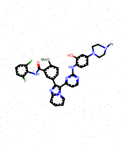 COc1ccc(-c2nc3ccccn3c2-c2ccnc(Nc3ccc(N4CCN(C(C)C)CC4)cc3O)n2)cc1C(=O)Nc1c(F)cccc1F